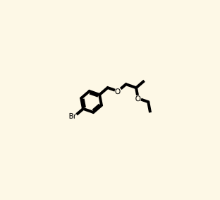 CCOC(C)COCc1ccc(Br)cc1